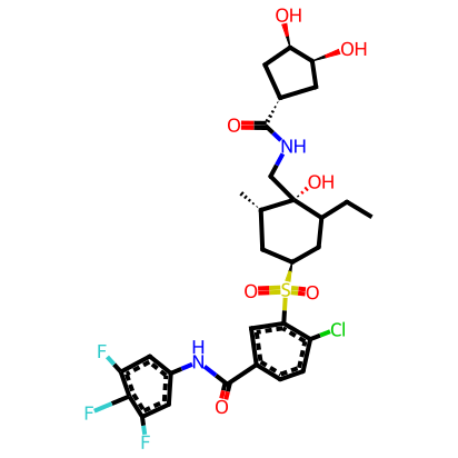 CCC1C[C@@H](S(=O)(=O)c2cc(C(=O)Nc3cc(F)c(F)c(F)c3)ccc2Cl)C[C@H](C)[C@@]1(O)CNC(=O)[C@@H]1C[C@@H](O)[C@@H](O)C1